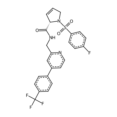 O=C(NCc1cc(-c2ccc(C(F)(F)F)cc2)ccn1)[C@@H]1C=CCN1S(=O)(=O)c1ccc(F)cc1